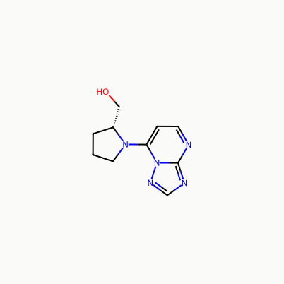 OC[C@H]1CCCN1c1ccnc2ncnn12